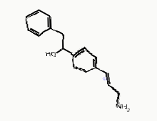 NC/C=C/c1ccc(C(O)Cc2ccccc2)cc1